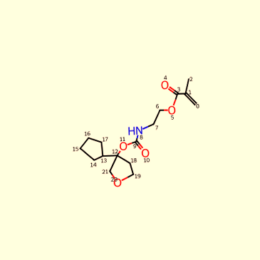 C=C(C)C(=O)OCCNC(=O)OC1(C2CCCC2)CCOC1